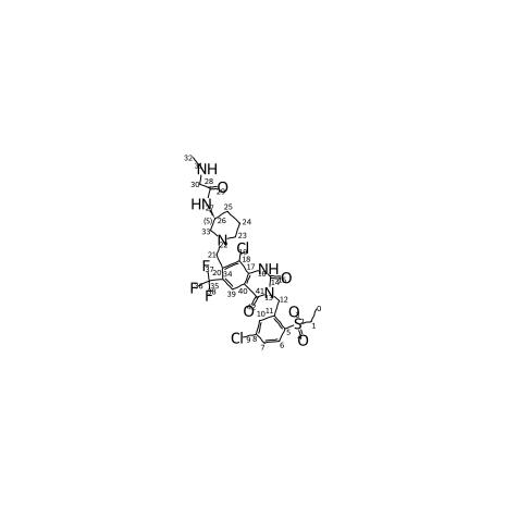 CCS(=O)(=O)c1ccc(Cl)cc1Cn1c(=O)[nH]c2c(Cl)c(CN3CCC[C@H](NC(=O)CNC)C3)c(C(F)(F)F)cc2c1=O